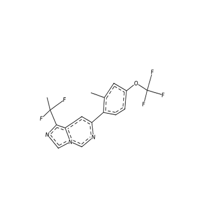 Cc1cc(OC(F)(F)F)ccc1-c1cc2c(C(C)(F)F)ncn2cn1